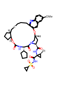 CC[C@H]1C[C@]1(NC(=O)[C@@H]1C[C@@H]2CN1C(=O)[C@H](C1CCCC1)NC(=O)O[C@H]1CCC[C@@H]1CCCCCc1nc3ccc(OC)cc3cc1O2)C(=O)NS(=O)(=O)C1CC1